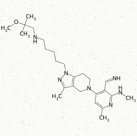 CNc1nc(C)cc(N2CCc3c(c(C)nn3CCCCCNCC(C)(C)OC)C2)c1C=N